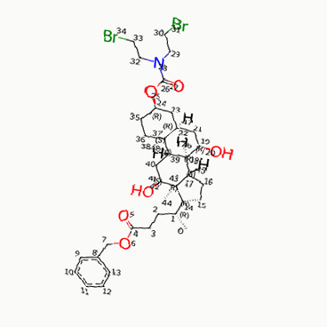 C[C@H](CCC(=O)OCc1ccccc1)[C@H]1CC[C@H]2[C@@H]3[C@H](O)C[C@@H]4C[C@H](OC(=O)N(CCBr)CCBr)CC[C@]4(C)[C@H]3C[C@H](O)[C@]12C